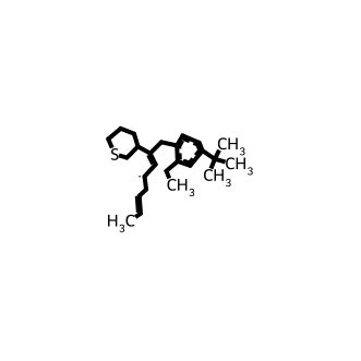 CC=CC[CH]C=C(Cc1ccc(C(C)(C)C)cc1CC)C1CCCSC1